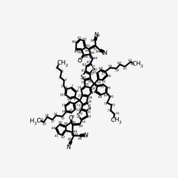 CCCCCCc1ccc(C2(c3ccc(CCCCCC)cc3)c3cc4c(cc3-c3sc5cc(C=C6C(=O)c7ccccc7C6=C(C#N)C#N)sc5c32)C(c2ccc(CCCCCC)cc2)(c2ccc(CCCCCC)cc2)c2c-4sc3cc(/C=C4\C(=O)c5ccccc5C4=C(C#N)C#N)sc23)cc1